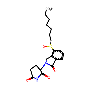 O=C(O)CCCCCC[S+]([O-])c1cccc2c1CN(C1CCC(=O)NC1=O)C2=O